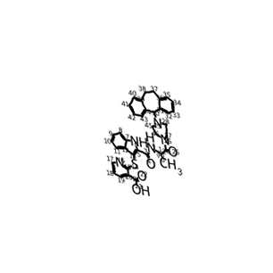 C[C@@H](NC(=O)c1[nH]c2ccccc2c1Sc1ncccc1C(=O)O)C(=O)N1CCN(C2c3ccccc3CCc3ccccc32)CC1